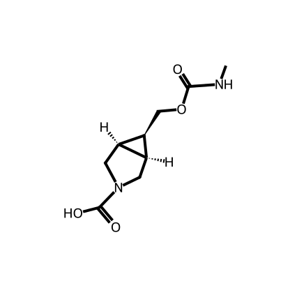 CNC(=O)OC[C@H]1[C@H]2CN(C(=O)O)C[C@@H]12